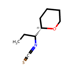 CCC(N=C=S)[C@@H]1CCCCO1